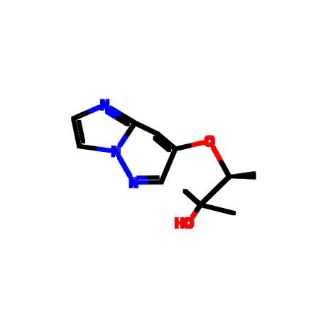 C[C@H](Oc1cnn2ccnc2c1)C(C)(C)O